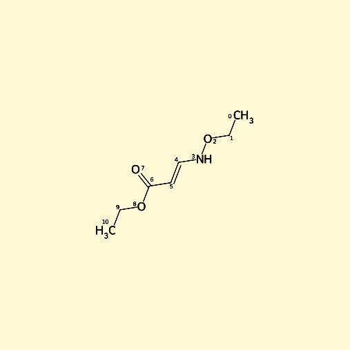 CCONC=CC(=O)OCC